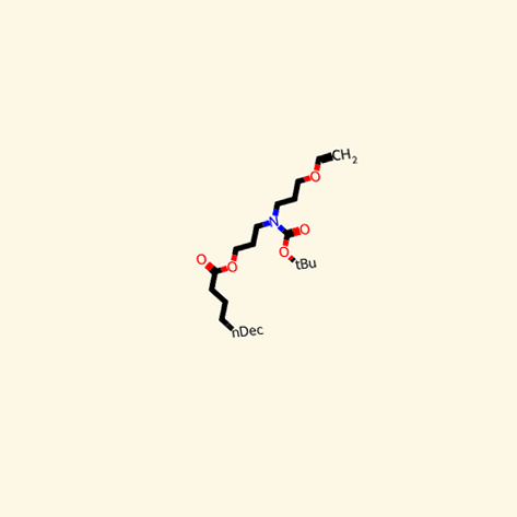 C=COCCCN(CCCOC(=O)CCCCCCCCCCCCC)C(=O)OC(C)(C)C